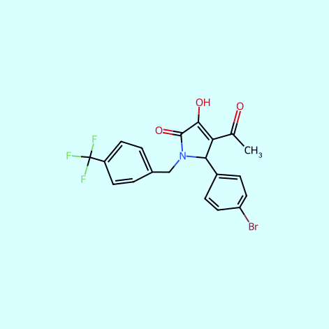 CC(=O)C1=C(O)C(=O)N(Cc2ccc(C(F)(F)F)cc2)C1c1ccc(Br)cc1